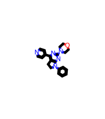 c1ccc(N2CCc3c(-c4ccncc4)nc(N4CCOCC4)nc32)cc1